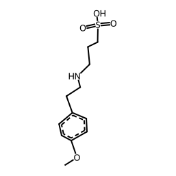 COc1ccc(CCNCCCS(=O)(=O)O)cc1